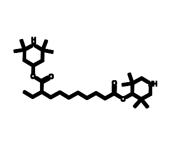 CCC(CCCCCCCC(=O)OC1C(C)(C)CNCC1(C)C)C(=O)OC1CC(C)(C)NC(C)(C)C1